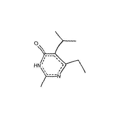 CCc1nc(C)[nH]c(=O)c1C(C)C